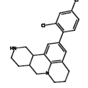 Clc1ccc(-c2cc3c4c(c2)C2CNCCC2CN4CCC3)c(Cl)c1